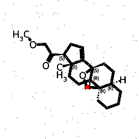 COCC(=O)[C@H]1CC=C2[C@]1(C)CC[C@@H]1[C@@]34CCCC[C@@H]3CC[C@@]21OC4